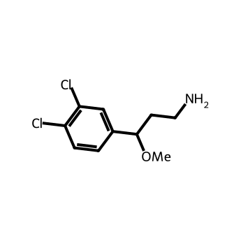 COC(CCN)c1ccc(Cl)c(Cl)c1